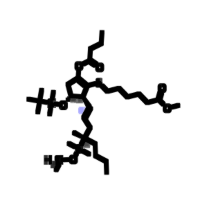 CCCC[C@@](C)(C/C=C/[C@@H]1C(SCCCCCC(=O)OC)=C(OC(=O)CCC)C[C@H]1O[Si](C)(C)C(C)(C)C)[Si](C)(C)O[SiH2]C